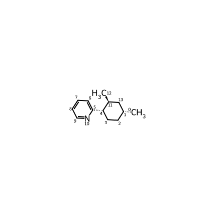 C[C@@H]1CC[C@H](c2ccccn2)[C@@H](C)C1